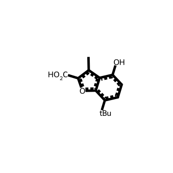 Cc1c(C(=O)O)oc2c(C(C)(C)C)ccc(O)c12